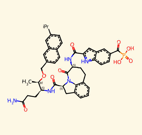 CC(C)c1ccc2ccc(CO[C@H](C)[C@H](CCC(N)=O)NC(=O)[C@@H]3Cc4cccc5c4N3C(=O)[C@@H](NC(=O)c3cc4cc(C(=O)P(=O)(O)O)ccc4[nH]3)CC5)cc2c1